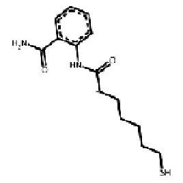 NC(=O)c1ccccc1NC(=O)[CH]CCCCCS